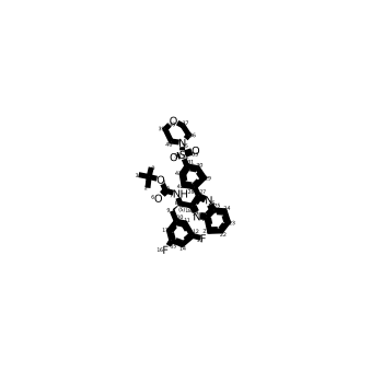 CC(C)(C)OC(=O)N[C@@H](Cc1cc(F)cc(F)c1)c1nc2ccccc2nc1-c1ccc(S(=O)(=O)N2CCOCC2)cc1